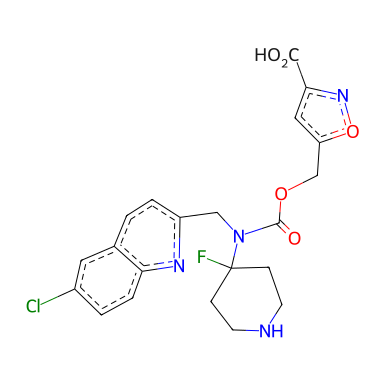 O=C(O)c1cc(COC(=O)N(Cc2ccc3cc(Cl)ccc3n2)C2(F)CCNCC2)on1